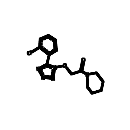 O=C(COn1nnnc1-c1ccccc1Cl)N1CCCCC1